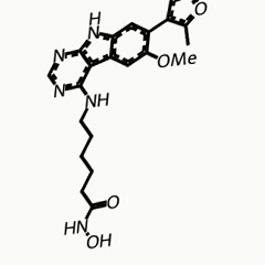 COc1cc2c(cc1-c1c(C)noc1C)[nH]c1ncnc(NCCCCCC(=O)NO)c12